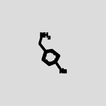 NCc1cc[c]([Na])cc1